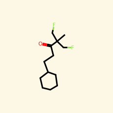 CC(CF)(CF)C(=O)CCC1CCCCC1